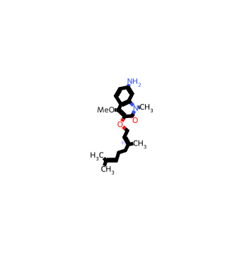 COc1c(OC/C=C(\C)CCC=C(C)C)c(=O)n(C)c2cc(N)ccc12